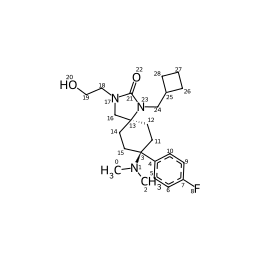 CN(C)[C@]1(c2ccc(F)cc2)CC[C@]2(CC1)CN(CCO)C(=O)N2CC1CCC1